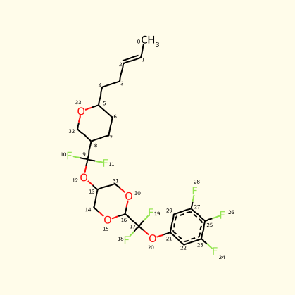 C/C=C/CCC1CCC(C(F)(F)OC2COC(C(F)(F)Oc3cc(F)c(F)c(F)c3)OC2)CO1